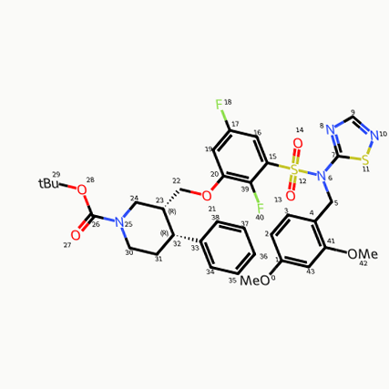 COc1ccc(CN(c2ncns2)S(=O)(=O)c2cc(F)cc(OC[C@H]3CN(C(=O)OC(C)(C)C)CC[C@H]3c3ccccc3)c2F)c(OC)c1